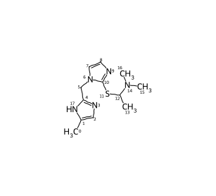 Cc1cnc(Cn2ccnc2SC(C)N(C)C)[nH]1